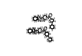 O=C(c1ccc(-c2ccccc2)s1)N1CCC(c2nc3ccccc3[nH]2)CC1.O=C(c1ccc(-c2cccs2)cc1)N1CCC(c2nc3ccccc3[nH]2)CC1